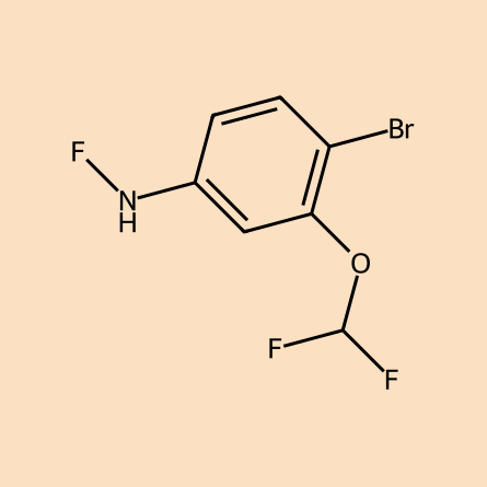 FNc1ccc(Br)c(OC(F)F)c1